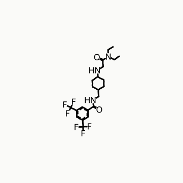 CCN(CC)C(=O)CNC1CCC(CNC(=O)c2cc(C(F)(F)F)cc(C(F)(F)F)c2)CC1